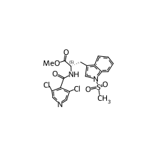 COC(=O)[C@H](Cc1cn(S(C)(=O)=O)c2ccccc12)NC(=O)c1c(Cl)cncc1Cl